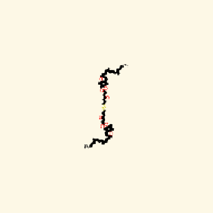 Cc1c(C)c2c(c(C)c1OC(=O)CCC(=O)CCCSSCCCC(=O)CCC(=O)Oc1c(C)c(C)c3c(c1C)CCC(C)(CCCC(C)CCCC(C)CCCC(C)C)O3)CCC(C)(CCCC(C)CCCC(C)CCCC(C)C)O2